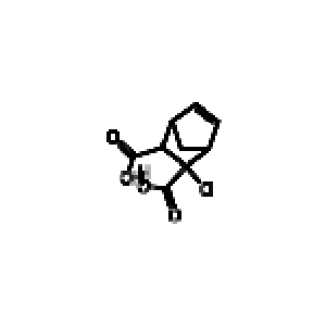 O=C(O)C1C2C=CC(C2)C1(Cl)C(=O)O